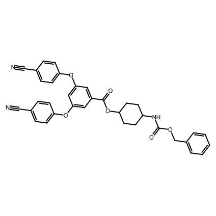 N#Cc1ccc(Oc2cc(Oc3ccc(C#N)cc3)cc(C(=O)OC3CCC(NC(=O)OCc4ccccc4)CC3)c2)cc1